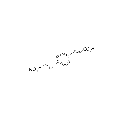 O=C(O)C=Cc1ccc(OCC(=O)O)cc1